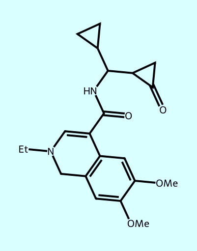 CCN1C=C(C(=O)NC(C2CC2)C2CC2=O)c2cc(OC)c(OC)cc2C1